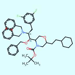 CC(C)(C)OC(=O)N1CC(CCC2CCCCC2)OCC1[C@@H](OCc1ccccc1)[C@H](Cc1cc(F)cc(F)c1)N(Cc1ccccc1)Cc1ccccc1